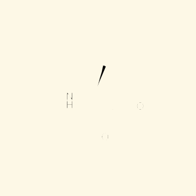 C#C[C@H](NC)C(=O)OC